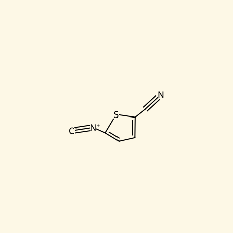 [C-]#[N+]c1ccc(C#N)s1